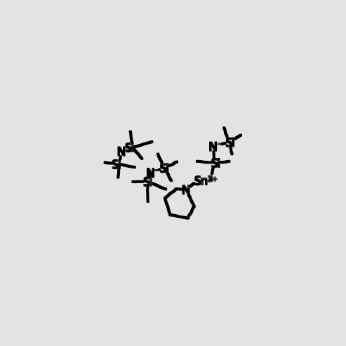 C[Si](C)(C)[N-][Si](C)(C)C.C[Si](C)(C)[N-][Si](C)(C)C.C[Si](C)(C)[N-][Si](C)(C)C.[Sn+3][N]1CCCCC1